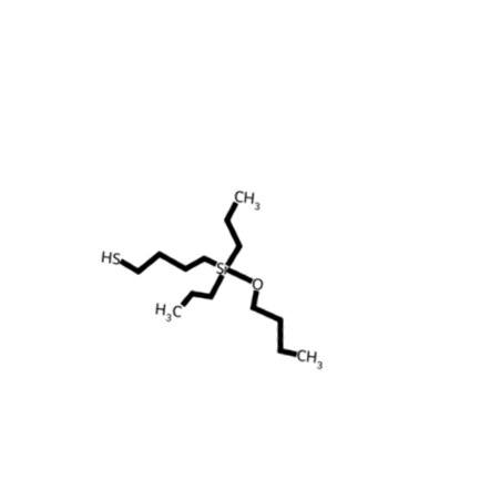 CCCCO[Si](CCC)(CCC)CCCCS